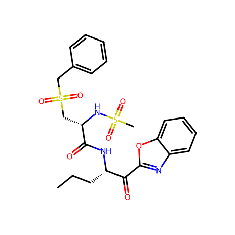 CCC[C@H](NC(=O)[C@H](CS(=O)(=O)Cc1ccccc1)NS(C)(=O)=O)C(=O)c1nc2ccccc2o1